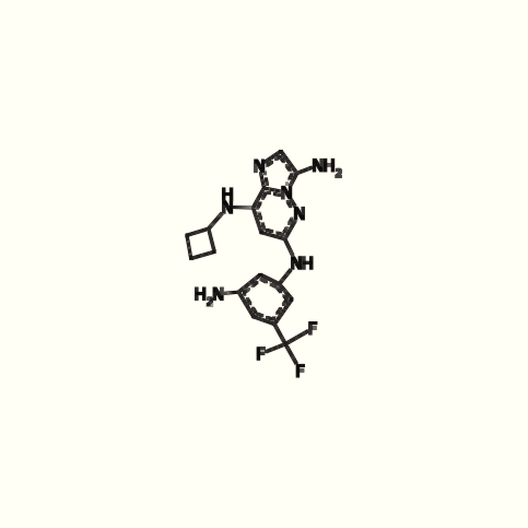 Nc1cc(Nc2cc(NC3CCC3)c3ncc(N)n3n2)cc(C(F)(F)F)c1